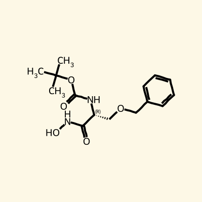 CC(C)(C)OC(=O)N[C@H](COCc1ccccc1)C(=O)NO